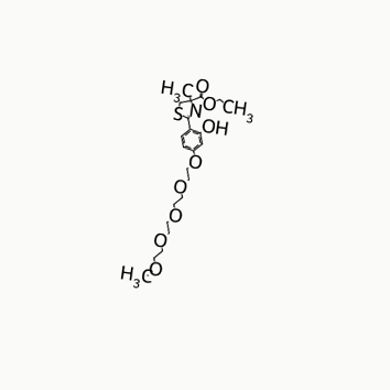 CCOC(=O)[C@@]1(C)CSC(c2ccc(OCCOCCOCCOCCOC)cc2O)=N1